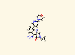 Nc1c2c(nc3c(-c4ccc(N5CCOCC5)nc4)cccc13)CN(C1=CC=C1)C2=O